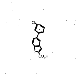 O=C(O)c1cc2cc(-c3cccc(Cl)c3)ccc2s1